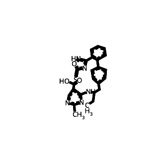 CCC(Cc1ccc(-c2ccccc2-c2nc(=S)o[nH]2)cc1)Nc1nc(C)ncc1C(=O)O